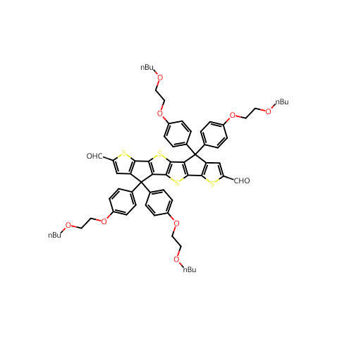 CCCCOCCOc1ccc(C2(c3ccc(OCCOCCCC)cc3)c3cc(C=O)sc3-c3sc4c5c(sc4c32)-c2sc(C=O)cc2C5(c2ccc(OCCOCCCC)cc2)c2ccc(OCCOCCCC)cc2)cc1